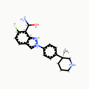 C[C@@]1(c2ccc(-n3cc4ccc(F)c(C(N)O)c4n3)cc2)CCCNC1